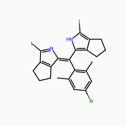 Cc1cc(Br)cc(C)c1/C(=C1/N=C(I)C2=C1CCC2)c1[nH]c(I)c2c1CCC2